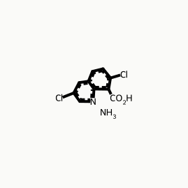 N.O=C(O)c1c(Cl)ccc2cc(Cl)cnc12